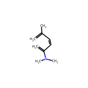 C=C(C)/C=C\C(=C)N(C)C